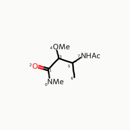 CNC(=O)C(OC)C(C)NC(C)=O